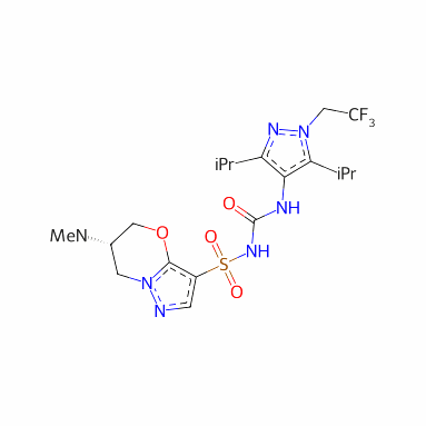 CN[C@@H]1COc2c(S(=O)(=O)NC(=O)Nc3c(C(C)C)nn(CC(F)(F)F)c3C(C)C)cnn2C1